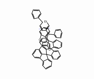 CC/C=C(\C=C/Cc1ccccc1)N(c1ccccc1)c1ccc(-c2cccc3c2C2(c4ccccc4-c4cc5c(cc42)oc2ccccc25)c2ccccc2-3)c2oc3ccccc3c12